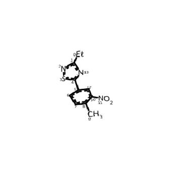 CCc1nsc(-c2ccc(C)c([N+](=O)[O-])c2)n1